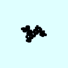 CCOC(=O)c1ccc(C(=Cc2ccc3c(c2)C(c2ccc(C)s2)=CCC3(C)C)CC(OC)OC)cc1